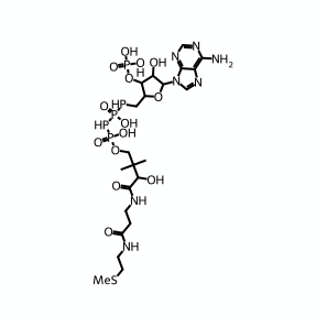 CSCCNC(=O)CCNC(=O)C(O)C(C)(C)COP(=O)(O)PP(=O)(O)PCC1OC(n2cnc3c(N)ncnc32)C(O)C1OP(=O)(O)O